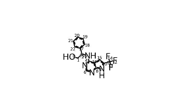 OC[C@H](Nc1ncnc2[nH]c(C(F)(F)F)cc12)c1ccccc1